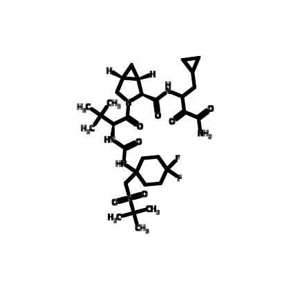 CC(C)(C)[C@H](NC(=O)NC1(CS(=O)(=O)C(C)(C)C)CCC(F)(F)CC1)C(=O)N1C[C@@H]2C[C@@H]2[C@H]1C(=O)NC(CC1CC1)C(=O)C(N)=O